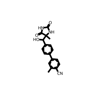 Cc1cc(-c2ccc(C(O)C3(C)NC(=O)NC3=O)cc2)ccc1C#N